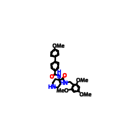 COc1ccc(-c2ccc(C(=O)NC3(C(=O)NCc4c(OC)cc(OC)cc4OC)CCNCC3)cc2)cc1